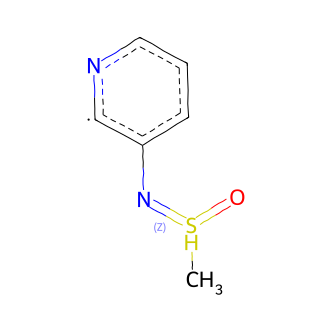 C/[SH](=O)=N/c1[c]nccc1